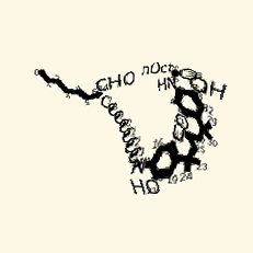 C=C/C=C/C=C/C(=C=C=C=C=C=C=C=Nc1cc2c(cc1O)C(C)(C)CC1(CC(C)(C)c3cc(O)c(NC(=O)CCCCCCCC)cc3O1)O2)C=O